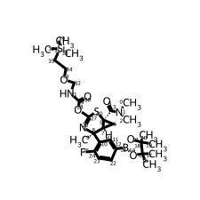 CN(C)C(=O)[C@]12C[C@H]1[C@@](C)(c1cc(B3OC(C)(C)C(C)(C)O3)ccc1F)N=C(OC(=O)NCOCC[Si](C)(C)C)S2